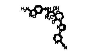 CC1(C(O)C(=O)Nc2ccc3c(N)noc3c2)OCCN(c2ccn(-c3ccnc(C#N)c3)n2)C1=O